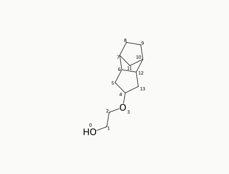 OCCOC1CC2C3CCC(C3)C2C1